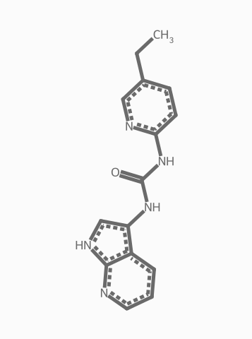 CCc1ccc(NC(=O)Nc2c[nH]c3ncccc23)nc1